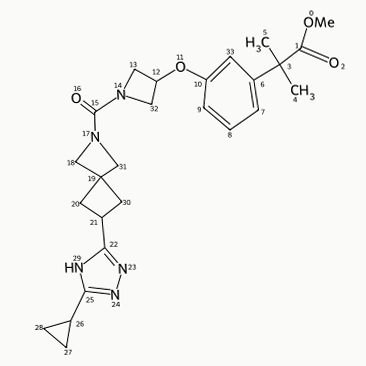 COC(=O)C(C)(C)c1cccc(OC2CN(C(=O)N3CC4(CC(c5nnc(C6CC6)[nH]5)C4)C3)C2)c1